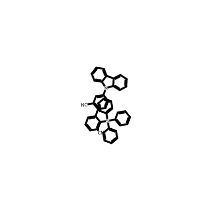 N#Cc1cc(-n2c3ccccc3c3ccccc32)ccc1-c1cccc(C#N)c1[Si](c1ccccc1)(c1ccccc1)c1ccccc1